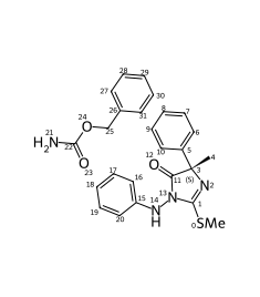 CSC1=N[C@@](C)(c2ccccc2)C(=O)N1Nc1ccccc1.NC(=O)OCc1ccccc1